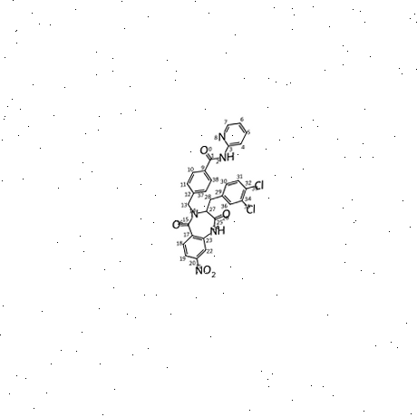 O=C(Nc1ccccn1)c1ccc(CN2C(=O)c3ccc([N+](=O)[O-])cc3NC(=O)C2Cc2ccc(Cl)c(Cl)c2)cc1